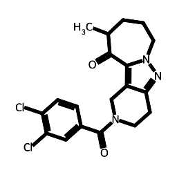 CC1CCCn2nc3c(c2C1=O)CN(C(=O)c1ccc(Cl)c(Cl)c1)CC3